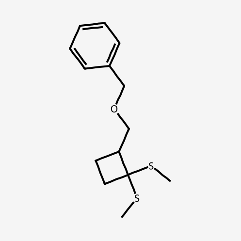 CSC1(SC)CCC1COCc1ccccc1